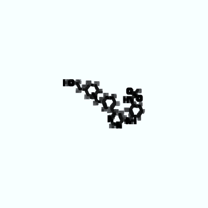 CS(=O)(=O)Nc1cccc(Nc2cc(-c3cccc(CN4CCCC(CCO)C4)c3)ncn2)c1